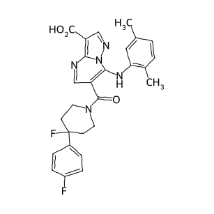 Cc1ccc(C)c(Nc2c(C(=O)N3CCC(F)(c4ccc(F)cc4)CC3)cnc3c(C(=O)O)cnn23)c1